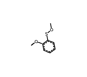 COSc1ccccc1OC